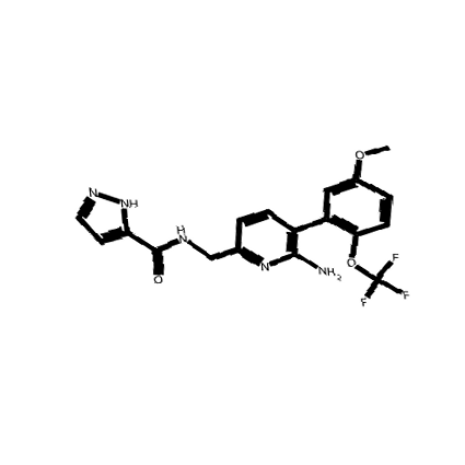 COc1ccc(OC(F)(F)F)c(-c2ccc(CNC(=O)c3ccn[nH]3)nc2N)c1